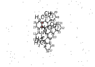 CC1(C)C2=C(C=C(N(c3ccccc3C3=C=C=CC=C3)c3c4c(cc5c3C(C)(C)c3ccccc3-5)-c3ccccc3C4(C)C)CC2)c2ccccc21